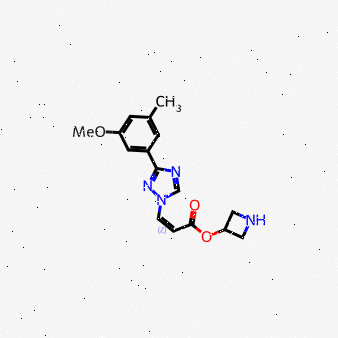 COc1cc(C)cc(-c2ncn(/C=C\C(=O)OC3CNC3)n2)c1